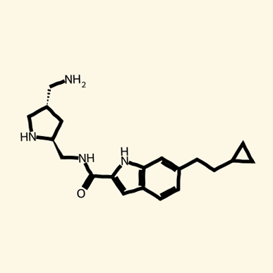 NC[C@H]1CN[C@H](CNC(=O)c2cc3ccc(CCC4CC4)cc3[nH]2)C1